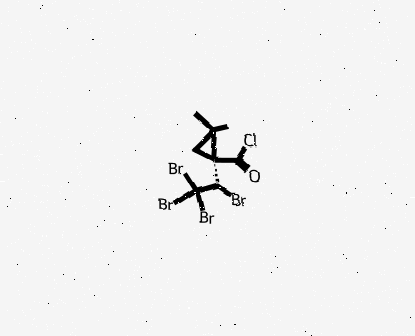 CC1(C)C[C@@]1(C(=O)Cl)C(Br)C(Br)(Br)Br